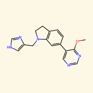 COc1ncncc1-c1ccc2c(c1)N(Cc1c[nH]cn1)CC2